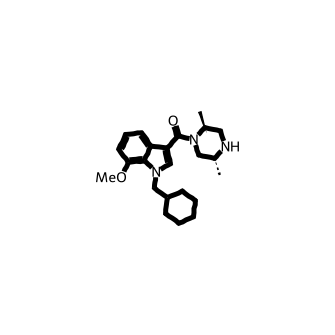 COc1cccc2c(C(=O)N3C[C@@H](C)NC[C@@H]3C)cn(CC3CCCCC3)c12